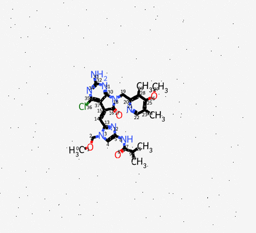 COCn1cc(NC(=O)C(C)C)nc1C=C1C(=O)N(Cc2ncc(C)c(OC)c2C)c2nc(N)nc(Cl)c21